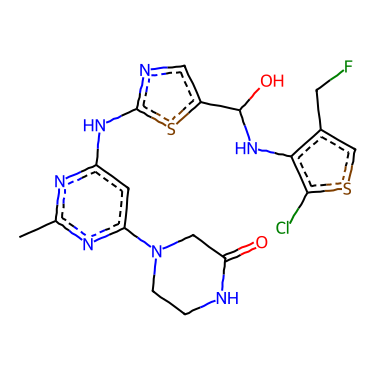 Cc1nc(Nc2ncc(C(O)Nc3c(CF)csc3Cl)s2)cc(N2CCNC(=O)C2)n1